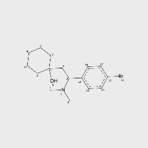 CN(C)C(CC1(O)CCCCC1)c1ccc(Br)cc1